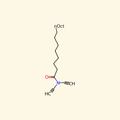 C#CN(C#C)C(=O)CCCCCCCCCCCCCCC